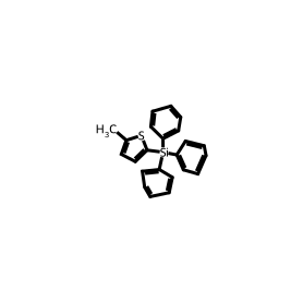 Cc1ccc([Si](c2ccccc2)(c2ccccc2)c2ccccc2)s1